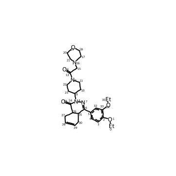 CCOc1ccc(C2=NN(C3CCN(C(=O)CN4CCOCC4)CC3)C(=O)C3CC=CCC23)cc1OCC